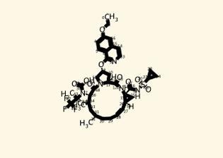 CCOc1ccc2c(O[C@@H]3C[C@H]4C(=O)N[C@]5(C(=O)NS(=O)(=O)C6CC6)C[C@H]5C=CCC[C@H](C)C[C@@H](C)[C@H](N(C(=O)O)C(C)(C)C(F)(F)F)C(=O)N4C3)nccc2c1